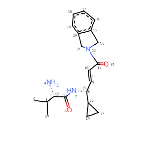 CC(C)[C@H](N)C(=O)N[C@H](/C=C/C(=O)N1Cc2ccccc2C1)C1CC1